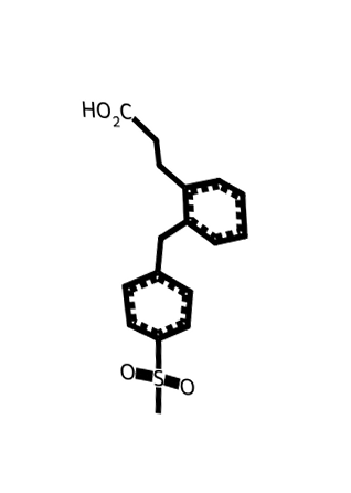 CS(=O)(=O)c1ccc(Cc2ccccc2CCC(=O)O)cc1